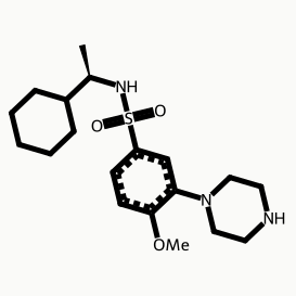 COc1ccc(S(=O)(=O)N[C@H](C)C2CCCCC2)cc1N1CCNCC1